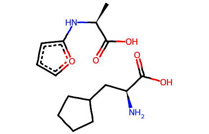 C[C@H](Nc1ccco1)C(=O)O.N[C@@H](CC1CCCC1)C(=O)O